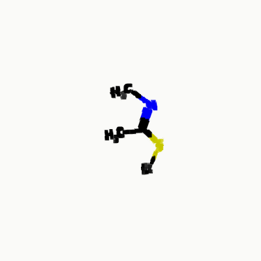 CCS/C(C)=N/C